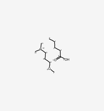 CCCCC(=O)O.COCCCN(C)C